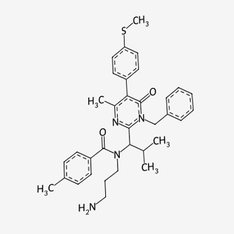 CSc1ccc(-c2c(C)nc(C(C(C)C)N(CCCN)C(=O)c3ccc(C)cc3)n(Cc3ccccc3)c2=O)cc1